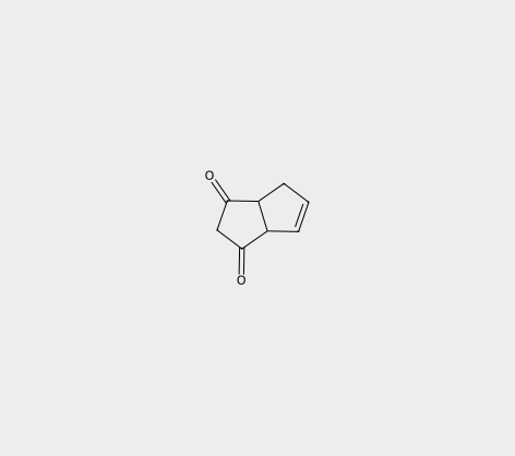 O=C1CC(=O)C2CC=CC12